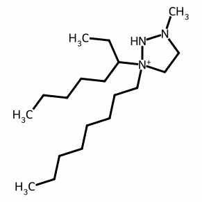 CCCCCCCC[N+]1(C(CC)CCCCC)CCN(C)N1